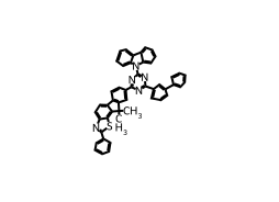 CC1(C)c2cc(-c3nc(-c4cccc(-c5ccccc5)c4)nc(-n4c5ccccc5c5ccccc54)n3)ccc2-c2ccc3nc(-c4ccccc4)sc3c21